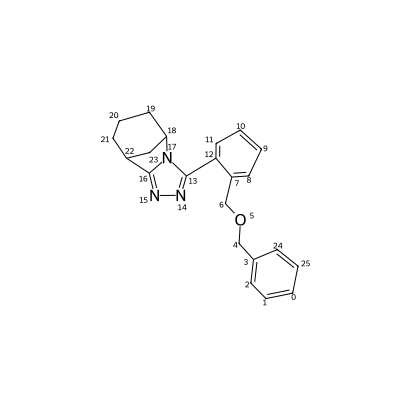 c1ccc(COCc2ccccc2-c2nnc3n2C2CCCC3C2)cc1